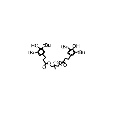 CC(COC(=O)CCc1cc(C(C)(C)C)c(O)c(C(C)(C)C)c1)(COC(=O)CCc1cc(C(C)(C)C)c(O)c(C(C)(C)C)c1)C(=O)O